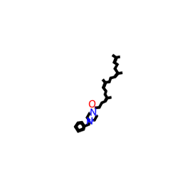 CC(C)=CCCC(C)=CCCC(C)=CCCC(C)=CCCC(=O)N1CCN(Cc2ccccc2)CC1